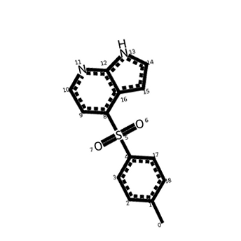 Cc1ccc(S(=O)(=O)c2ccnc3[nH]ccc23)cc1